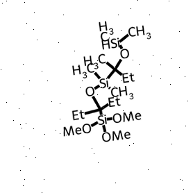 CCC(C)(O[SiH](C)C)[Si](C)(C)OC(CC)(CC)[Si](OC)(OC)OC